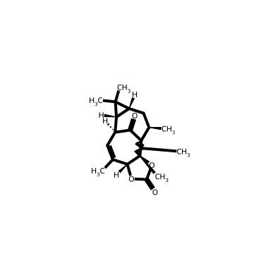 CC1=C[C@@H]2C(=O)[C@]3(C=C(C)[C@H](C)[C@]34OC(=O)O[C@H]14)[C@H](C)C[C@@H]1[C@H]2C1(C)C